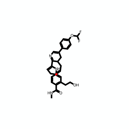 CNC(=O)c1ccc(N/C2=C\C/C=C\CC3CC(c4ccc(OC(F)F)cc4)=CN=C23)cc1CCO